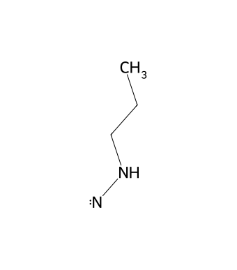 CCCN[N]